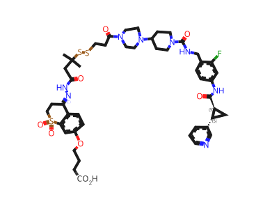 CC(C)(CC(=O)N/N=C1\CCS(=O)(=O)c2cc(OCCCC(=O)O)ccc21)SSCCC(=O)N1CCN(C2CCN(C(=O)NCc3ccc(NC(=O)[C@H]4C[C@@H]4c4cccnc4)cc3F)CC2)CC1